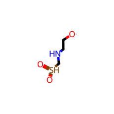 [O]CCNC[SH](=O)=O